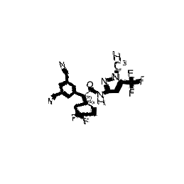 Cn1nc(NC(=O)[C@@H](c2cc(C#N)cc(C#N)c2)[C@@H]2CCC(F)(F)C2)cc1C(F)(F)F